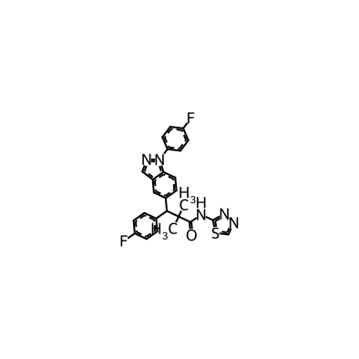 CC(C)(C(=O)Nc1nncs1)C(c1ccc(F)cc1)c1ccc2c(cnn2-c2ccc(F)cc2)c1